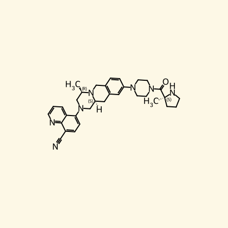 C[C@@H]1CN(c2ccc(C#N)c3ncccc23)C[C@@H]2Cc3cc(N4CCN(C(=O)[C@]5(C)CCCN5)CC4)ccc3CN21